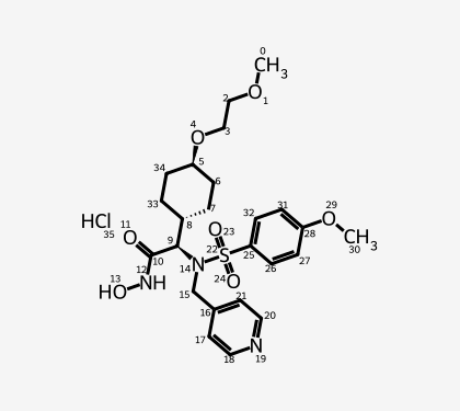 COCCO[C@H]1CC[C@H]([C@H](C(=O)NO)N(Cc2ccncc2)S(=O)(=O)c2ccc(OC)cc2)CC1.Cl